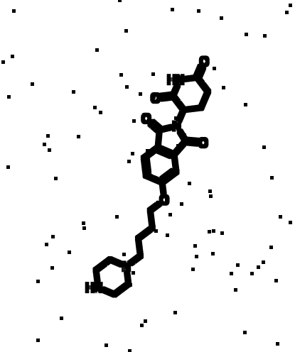 O=C1CCC(N2C(=O)c3ccc(OCCCCN4CCNCC4)cc3C2=O)C(=O)N1